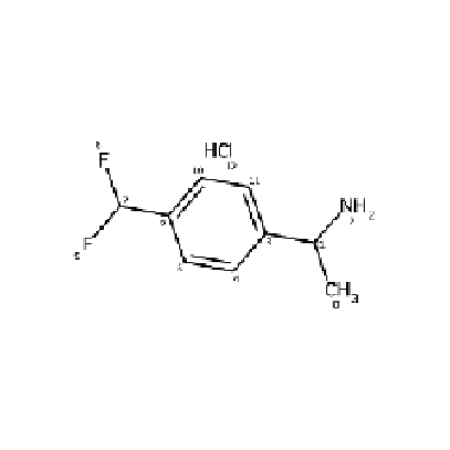 CC(N)c1ccc(C(F)F)cc1.Cl